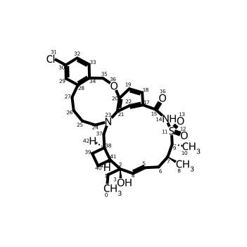 CC[C@@]1(O)/C=C/C[C@H](C)[C@@H](C)S(=O)(=O)NC(=O)c2ccc3c(c2)N(CCCCc2cc(Cl)ccc2CO3)C[C@@H]2CC[C@H]21